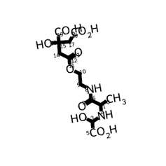 CC(NC(O)C(=O)O)C(=O)NCCOC(=O)CC(O)(CC(=O)O)C(=O)O